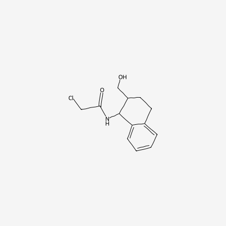 O=C(CCl)NC1c2ccccc2CCC1CO